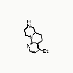 CCc1ccnc2c1CCC1CNCCN21